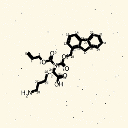 C=CCOC(=O)N(C(=O)OCc1cccc2c1Cc1ccccc1-2)[C@@H](CCCCN)C(=O)O